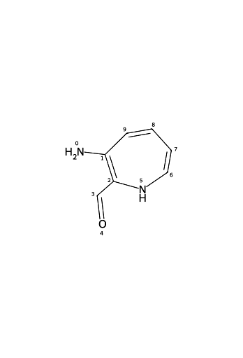 NC1=C(C=O)NC=CC=C1